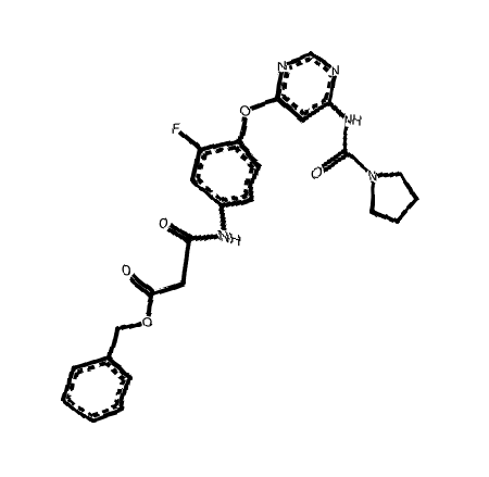 O=C(CC(=O)OCc1ccccc1)Nc1ccc(Oc2cc(NC(=O)N3CCCC3)ncn2)c(F)c1